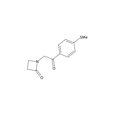 CSc1ccc(C(=O)CN2CCC2=O)cc1